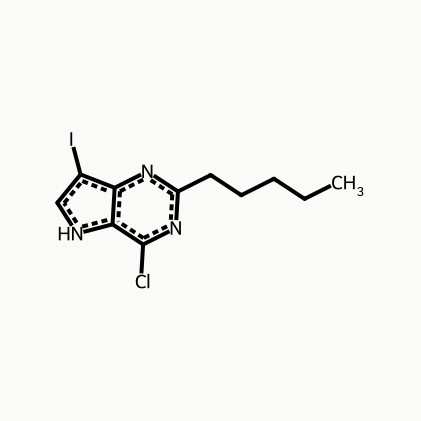 CCCCCc1nc(Cl)c2[nH]cc(I)c2n1